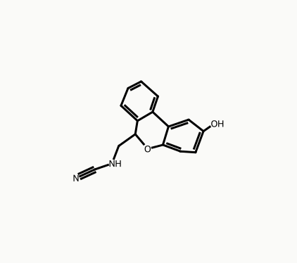 N#CNCC1Oc2ccc(O)cc2-c2ccccc21